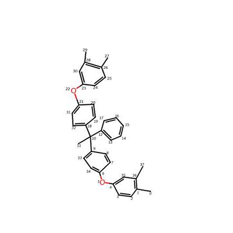 Cc1ccc(Oc2ccc(C(C)(c3ccccc3)c3ccc(Oc4ccc(C)c(C)c4)cc3)cc2)cc1C